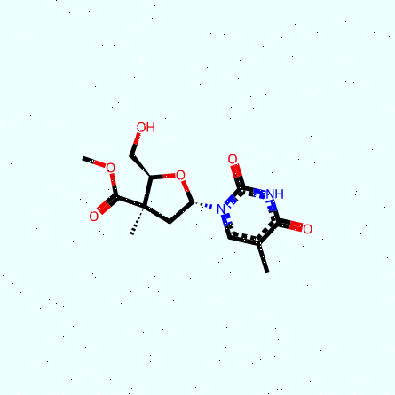 COC(=O)[C@]1(C)C[C@@H](n2cc(C)c(=O)[nH]c2=O)O[C@@H]1CO